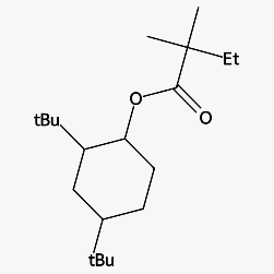 CCC(C)(C)C(=O)OC1CCC(C(C)(C)C)CC1C(C)(C)C